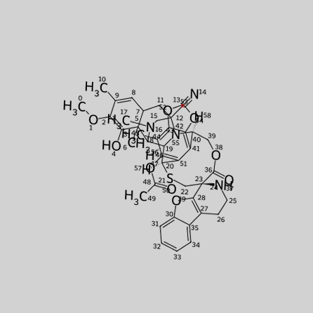 COC1=C(O)C2(C)C(C=C1C)CC1(C#N)CN(C)C2[C@@H]2[C@@H]3SC[C@]4(NCCc5c4oc4ccccc54)C(=O)OC[C@@H](c4c5c(c(C)c(OC(C)=O)c43)OCO5)N21